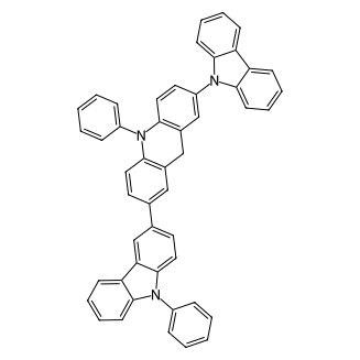 c1ccc(N2c3ccc(-c4ccc5c(c4)c4ccccc4n5-c4ccccc4)cc3Cc3cc(-n4c5ccccc5c5ccccc54)ccc32)cc1